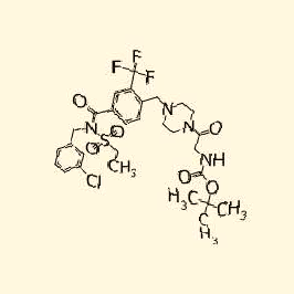 CCS(=O)(=O)N(Cc1cccc(Cl)c1)C(=O)c1ccc(CN2CCN(C(=O)CNC(=O)OC(C)(C)C)CC2)c(C(F)(F)F)c1